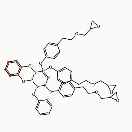 c1ccc(ON2P(Oc3ccc(CCOCC4CO4)cc3)N=P(Oc3ccc(CCOCC4CO4)cc3)(Oc3ccc(CCOCC4CO4)cc3)N(Oc3ccccc3)P2Oc2ccccc2)cc1